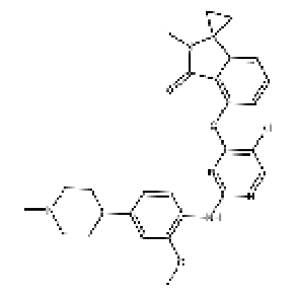 COc1cc(C2CCN(C)CC2)ccc1Nc1ncc(Cl)c(Oc2cccc3c2C(=O)N(C)C32CC2)n1